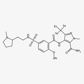 [2H]C([2H])(CC)c1nn(C)c(C(N)=O)c1NC(=O)c1cc(S(=O)(=O)NCCC2CCCN2C)ccc1OCCC